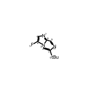 CC(C)(C)c1cn2c(F)cnc2cn1